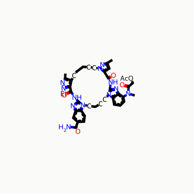 CCn1nc(C)c2c1C(=O)Nc1nc3cc(C(N)=O)ccc3n1CCCCn1c(nc3c(N(C)C(=O)COC(C)=O)cccc31)NC(=O)c1cc(C)nn1CCCCC2